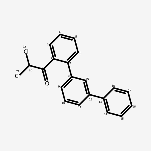 O=C(c1ccccc1-c1cccc(-c2ccccc2)c1)C(Cl)Cl